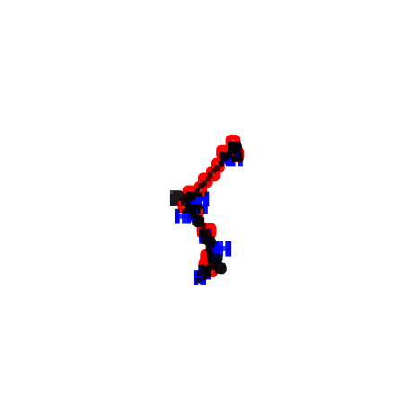 CC(C)[C@H](NC(=O)CCOCCOCCOCCOCCNC(=O)CCN1C(=O)C=CC1=O)C(=O)NCC(=O)Nc1ccc(COC(=O)N2CCc3c2ccc2c3CC(C(=O)N3CCc4c3cc(OC(=O)N3CCN(C)CC3)c3ccccc43)N2)cc1